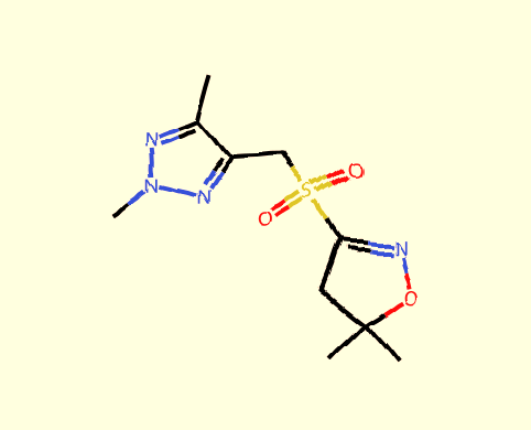 Cc1nn(C)nc1CS(=O)(=O)C1=NOC(C)(C)C1